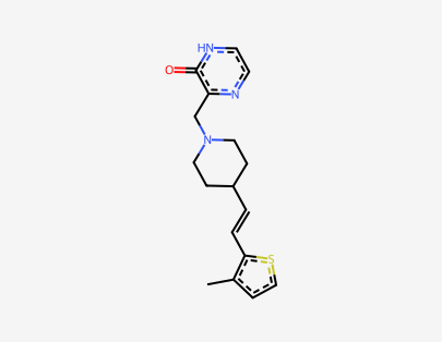 Cc1ccsc1C=CC1CCN(Cc2ncc[nH]c2=O)CC1